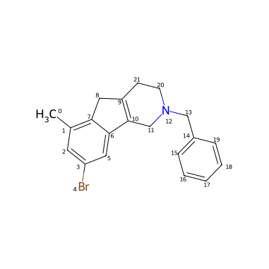 Cc1cc(Br)cc2c1CC1=C2CN(Cc2ccccc2)CC1